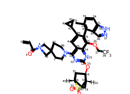 C=CC(=O)N1CC2(CCN(c3nc(O[C@@H]4C[C@@H]5C[C@H]4CS5(=O)=O)nc4c(OCC(F)(F)F)c(-c5c(C)ccc6[nH]ncc56)c(C5CC5)cc34)CC2)C1